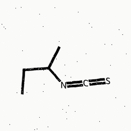 CCC(C)N=C=S